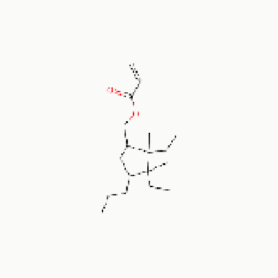 C=CC(=O)OCC1CC(CCC)C(C)(CC)C1(C)CC